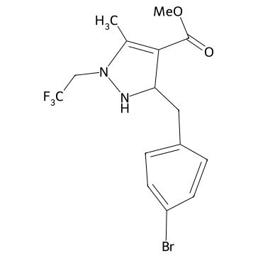 COC(=O)C1=C(C)N(CC(F)(F)F)NC1Cc1ccc(Br)cc1